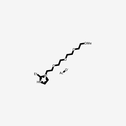 CC(=O)[O-].CCc1[nH]cc[n+]1CCOCCOCCOCCOC